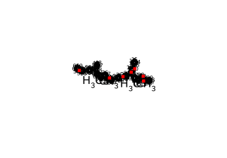 CC1(C)c2ccc(N(c3ccc(-c4ccccc4)cc3)c3ccc(-c4ccc(-c5ccc6sc7c8c(ccc7c6c5)-c5cc(N(c6ccccc6)c6ccc(-c7ccc9ccccc9c7)cc6)ccc5C8(C)C)cc4)cc3)cc2-c2ccc3c(sc4ccccc43)c21